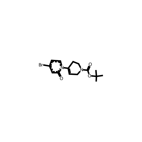 CC(C)(C)OC(=O)N1CC=C(n2ccc(Br)cc2=O)CC1